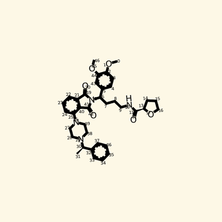 COc1ccc(C(CCCNC(=O)[C@H]2CCCO2)N2C(=O)c3cccc(N4CCN([C@H](C)c5ccccc5)CC4)c3C2=O)cc1OC